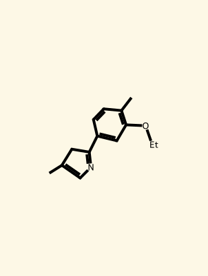 CCOc1cc(C2=NC=C(C)C2)ccc1C